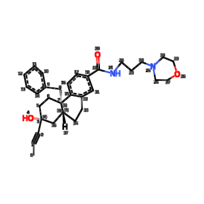 CC#C[C@@]1(O)CC[C@@]2(Cc3ccccc3)c3ccc(C(=O)NCCCN4CCOCC4)cc3CC[C@@H]2C1